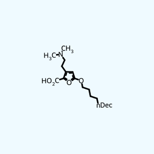 CCCCCCCCCCCCCCOc1cc(CCN(C)C)c(C(=O)O)o1